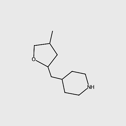 CC1COC(CC2CCNCC2)C1